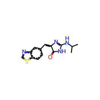 CC(C)NC1=NC(=Cc2ccc3scnc3c2)C(=O)N1